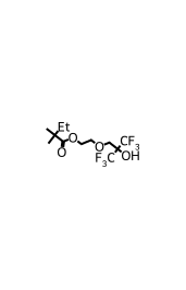 CCC(C)(C)C(=O)OCCOCC(O)(C(F)(F)F)C(F)(F)F